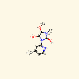 CCOC1C(O)N(c2cc(C(F)(F)F)ccn2)C(=O)N1CC